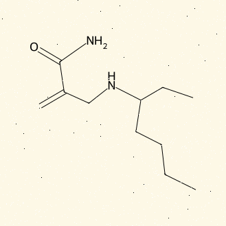 C=C(CNC(CC)CCCC)C(N)=O